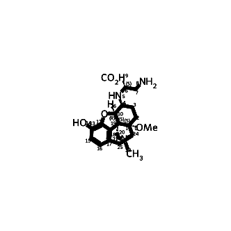 CO[C@@]12CC[C@H](N[C@@H](CN)C(=O)O)[C@@H]3Oc4c(O)ccc5c4[C@@]31CCN(C)C2C5